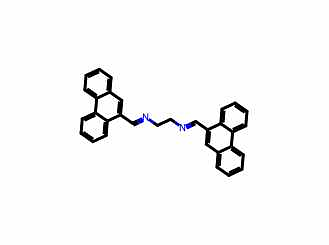 C(=NCCN=Cc1cc2ccccc2c2ccccc12)c1cc2ccccc2c2ccccc12